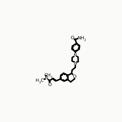 CN(C)C(=O)C=Cc1ccc2c(c1)CCOC2CCN1CCN(c2ccc(C(N)=O)cc2)CC1